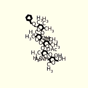 CC(=O)NC1[C@H](C)OC(CO)[C@@H](O)[C@@H]1O[C@@H]1OC(C)[C@H](C)[C@H](O[C@@H]2OC(C)[C@H](C)[C@H](C)C2O[C@@H]2OC(C)[C@H](C)[C@H](O[C@H]3O[C@@H](COCc4ccccc4)[C@@H](C)C(C)C3C)C2O)C1OC(C)=O